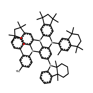 Cc1cc2c(cc1N1c3cc4c(cc3B3c5cc6c(cc5N(c5ccc(C(C)(C)C)cc5-c5ccccc5)c5cc(N7c8ccccc8C8(C)CCCCC78C)cc1c53)C(C)(C)CC6(C)C)C(C)(C)CC4(C)C)C(C)(C)CCC2(C)C